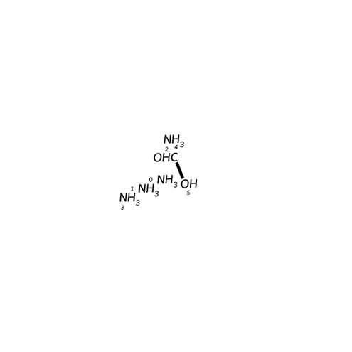 N.N.N.N.O=CO